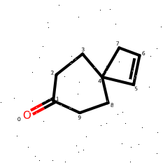 O=C1CCC2(C=CC2)CC1